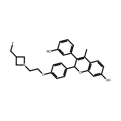 CC1=C(c2cccc(C#N)c2)C(c2ccc(OCCN3CC(CF)C3)cc2)Oc2cc(O)ccc21